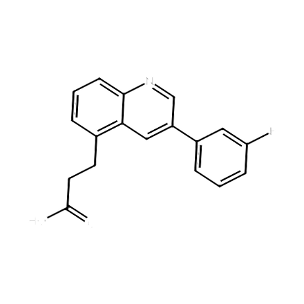 O=C(O)CCc1cccc2ncc(-c3cccc(F)c3)cc12